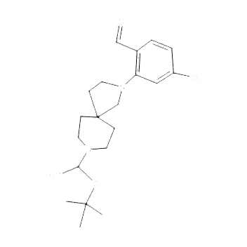 CC(C)(C)OC(O)N1CCC2(CCN(c3cc(Cl)ccc3C=O)C2)CC1